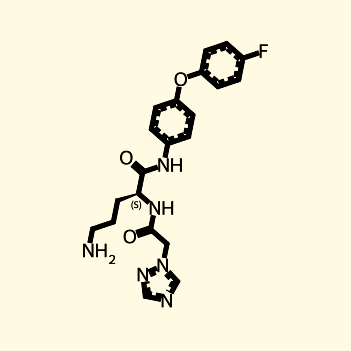 NCCC[C@H](NC(=O)Cn1cncn1)C(=O)Nc1ccc(Oc2ccc(F)cc2)cc1